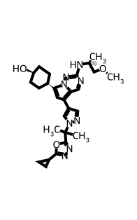 COC[C@H](C)Nc1ncc2c(-c3cnn(C(C)(C)c4nnc(C5CC5)o4)c3)cc([C@H]3CC[C@H](O)CC3)n2n1